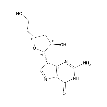 Nc1nc2c(ncn2[C@@H]2O[C@H](CCO)C[C@H]2O)c(=O)[nH]1